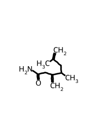 C=C(C)CC(C)C(=C)CC(N)=O